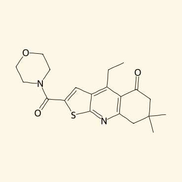 CCc1c2c(nc3sc(C(=O)N4CCOCC4)cc13)CC(C)(C)CC2=O